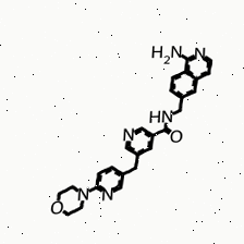 Nc1nccc2cc(CNC(=O)c3cncc(Cc4ccc(N5CCOCC5)nc4)c3)ccc12